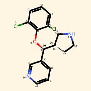 Clc1cccc(Cl)c1O[C@H](c1cccnc1)[C@H]1CCNC1